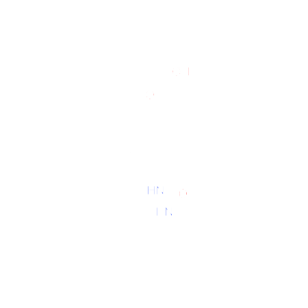 O=C(NCC/C(=C(\c1ccccc1)c1ccc(OCCO)cc1)c1ccccc1)NC1CCCCC1